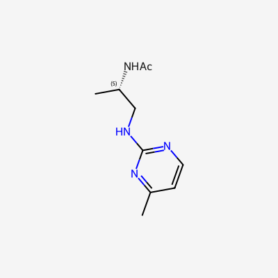 CC(=O)N[C@@H](C)CNc1nccc(C)n1